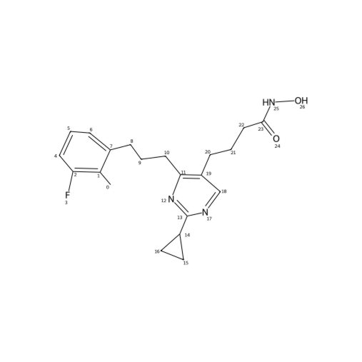 Cc1c(F)cccc1CCCc1nc(C2CC2)ncc1CCCC(=O)NO